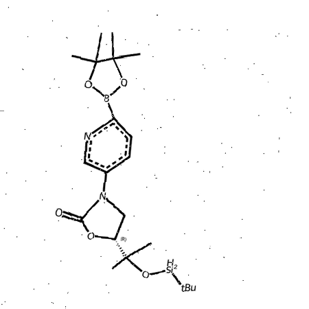 CC(C)(C)[SiH2]OC(C)(C)[C@H]1CN(c2ccc(B3OC(C)(C)C(C)(C)O3)nc2)C(=O)O1